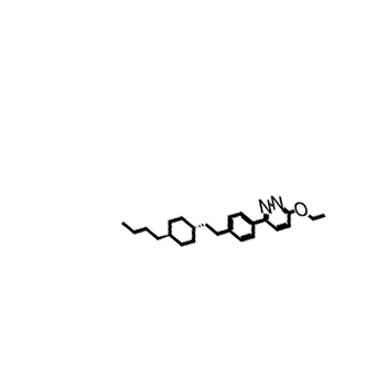 CCCC[C@H]1CC[C@H](CCc2ccc(-c3ccc(OCC)nn3)cc2)CC1